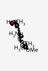 COc1cc(C)c(S(=O)(=O)N2CC(Oc3ccnc(C(N)CCCN4CCC(c5ccccc5)(N(C)C)CC4)n3)C2)c(C)c1